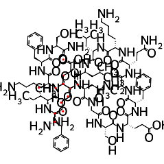 CC[C@H](C)[C@H](NC(=O)[C@@H](N)Cc1ccccc1)C(=O)N[C@@H](CCC(=O)O)C(=O)N[C@@H](CC(N)=O)C(=O)NCC(=O)N[C@@H](CO)C(=O)N[C@@H](CCC(=O)O)C(=O)N[C@@H](Cc1ccccc1)C(=O)N[C@@H](C)C(=O)N[C@@H](CCC(N)=O)C(=O)N[C@@H](CCCCN)C(=O)N[C@@H](CC(C)C)C(=O)N[C@@H](CC(C)C)C(=O)N[C@@H](CCCCN)C(=O)N[C@@H](CCCCN)C(=O)N[C@@H](Cc1ccccc1)C(=O)N[C@@H](CO)C(N)=O